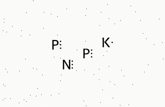 [K].[N].[P].[P]